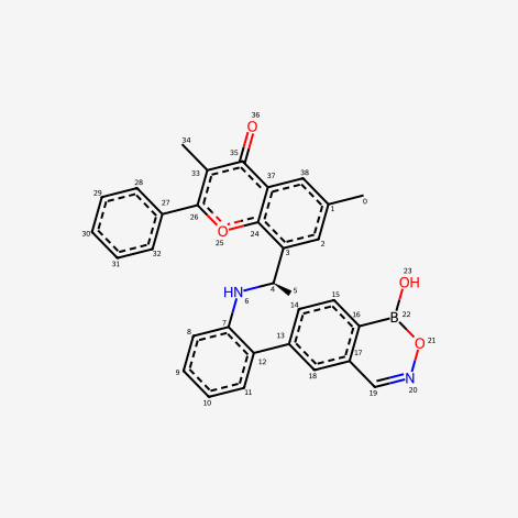 Cc1cc([C@@H](C)Nc2ccccc2-c2ccc3c(c2)C=NOB3O)c2oc(-c3ccccc3)c(C)c(=O)c2c1